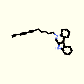 C#CC#CC#CCCCCC[n+]1cc2[nH]c3ccccc3c2c2ccccc21